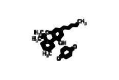 CCCCCc1cc(O)c2c(c1)OC(C)(C)c1ccc(C)cc1-2.O=C1C=CC(=O)C=C1